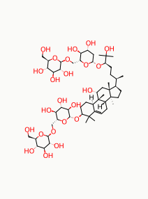 C[C@H](CC[C@@H](O[C@H]1C[C@@H](O)[C@H](O)[C@@H](CO[C@@H]2O[C@H](CO)[C@@H](O)[C@H](O)[C@H]2O)O1)C(C)(C)O)[C@H]1CC[C@@]2(C)[C@@H]3CC=C4[C@@H](CC[C@H](O[C@@H]5O[C@H](CO[C@@H]6O[C@H](CO)[C@@H](O)[C@H](O)[C@H]6O)[C@@H](O)[C@H](O)[C@H]5O)C4(C)C)[C@]3(C)[C@H](O)C[C@]12C